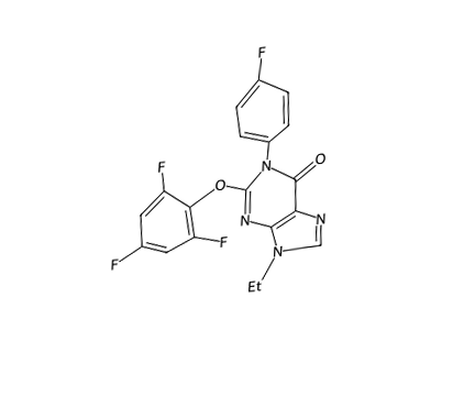 CCn1cnc2c(=O)n(-c3ccc(F)cc3)c(Oc3c(F)cc(F)cc3F)nc21